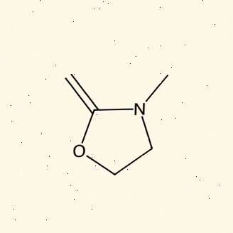 C=C1OCCN1C